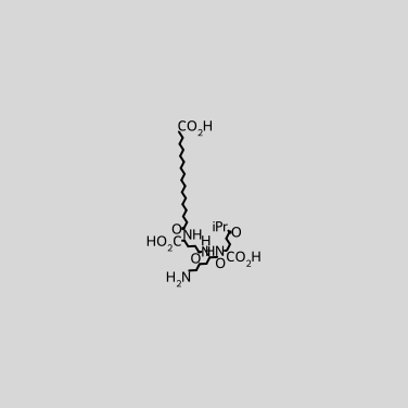 CC(C)C(=O)CCC(NC(=O)C(CCCCN)NC(=O)CCC(NC(=O)CCCCCCCCCCCCCCCCC(=O)O)C(=O)O)C(=O)O